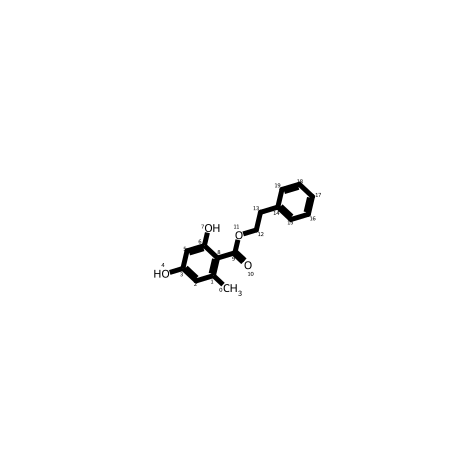 Cc1cc(O)cc(O)c1C(=O)OCCc1ccccc1